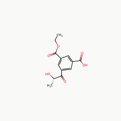 CCOC(=O)c1cc(C(=O)O)cc(C(=O)[C@H](C)O)c1